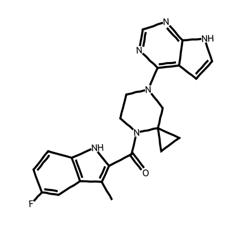 Cc1c(C(=O)N2CCN(c3ncnc4[nH]ccc34)CC23CC3)[nH]c2ccc(F)cc12